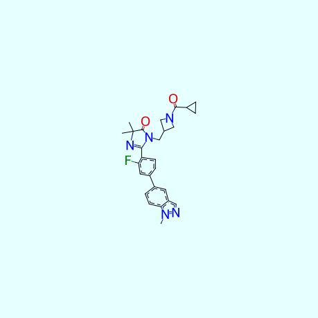 Cn1ncc2cc(-c3ccc(C4=NC(C)(C)C(=O)N4CC4CN(C(=O)C5CC5)C4)c(F)c3)ccc21